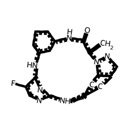 C=c1c(=O)[nH]c2cccc(c2)[nH]c2nc(ncc2F)[nH]c2ccc3c(cnn13)c2